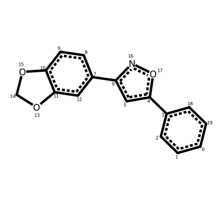 c1ccc(-c2cc(-c3ccc4c(c3)OCO4)no2)cc1